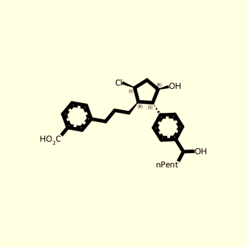 CCCCCC(O)c1ccc([C@@H]2[C@@H](CCCc3cccc(C(=O)O)c3)[C@@H](Cl)C[C@H]2O)cc1